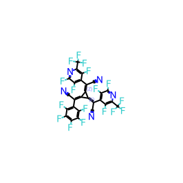 N#CC(=C1C(=C(/C#N)c2c(F)c(F)nc(C(F)(F)F)c2F)/C1=C(/C#N)c1c(F)c(F)nc(C(F)(F)F)c1F)c1c(F)c(F)c(F)c(F)c1F